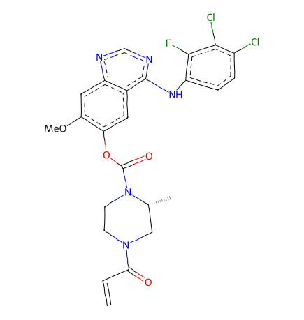 C=CC(=O)N1CCN(C(=O)Oc2cc3c(Nc4ccc(Cl)c(Cl)c4F)ncnc3cc2OC)[C@H](C)C1